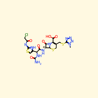 Cn1nnnc1SCC1=C(C(=O)O)N2C(=O)[C@@H](NC(=O)C(NC(N)=O)c3csc(=NC(=O)CCl)[nH]3)C2SC1